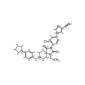 CCN1C(=O)N(c2ccc(-n3cnc(C#N)c3)cc2Cl)C(=O)C12CCN(Cc1ccc(N3CCCC3)cc1)CC2